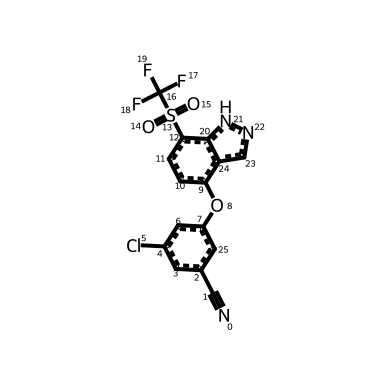 N#Cc1cc(Cl)cc(Oc2ccc(S(=O)(=O)C(F)(F)F)c3[nH]ncc23)c1